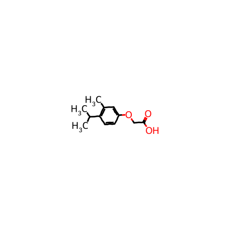 Cc1cc(OCC(=O)O)ccc1C(C)C